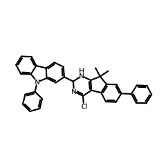 CC1(C)C2=C(C(Cl)=NC(c3ccc4c5ccccc5n(-c5ccccc5)c4c3)N2)c2ccc(-c3ccccc3)cc21